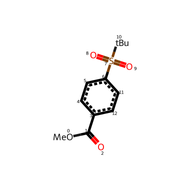 COC(=O)c1ccc(S(=O)(=O)C(C)(C)C)cc1